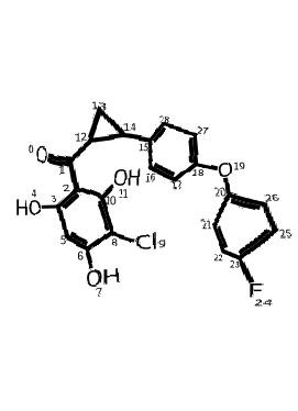 O=C(c1c(O)cc(O)c(Cl)c1O)C1CC1c1ccc(Oc2ccc(F)cc2)cc1